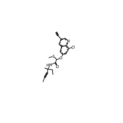 C#Cc1cnc2c(Cl)cc(OC(SC)C(=O)NC(C)(C#CC)CC)cc2c1